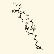 CCCCC[C@H]1CC[C@@H]2C[C@H](C3CCC(C(O)CC)CC3)CC[C@H]2C1